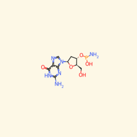 Nc1nc2c(ncn2[C@H]2C[C@H](OP(N)O)[C@@H](CO)O2)c(=O)[nH]1